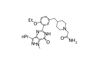 CCCc1nn(C)c2c(=O)[nH]c(-c3cc(CC4CCN(CC(N)=O)CC4)ccc3OCC)nc12